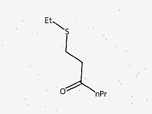 CCCC(=O)CCSCC